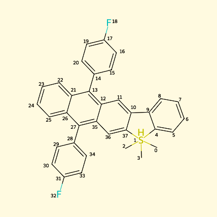 C[SH]1(C)(C)c2ccccc2-c2cc3c(-c4ccc(F)cc4)c4ccccc4c(-c4ccc(F)cc4)c3cc21